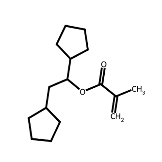 C=C(C)C(=O)OC(CC1CCCC1)C1CCCC1